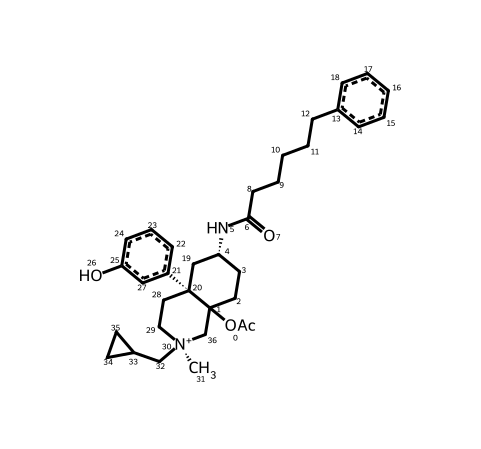 CC(=O)OC12CC[C@@H](NC(=O)CCCCCc3ccccc3)C[C@]1(c1cccc(O)c1)CC[N@+](C)(CC1CC1)C2